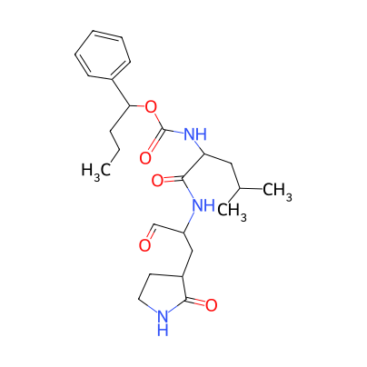 CCCC(OC(=O)NC(CC(C)C)C(=O)NC(C=O)CC1CCNC1=O)c1ccccc1